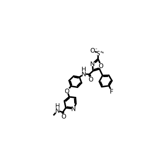 CNC(=O)c1cc(Oc2ccc(NC(=O)c3nc([S+](C)[O-])oc3-c3ccc(F)cc3)cc2)ccn1